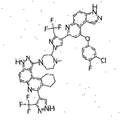 CN1CCN(c2n[nH]c3ccc4nc(-c5c[nH]nc5C(F)(F)F)c5c(c4c23)CCCC5)CC1n1cc(-c2cc(Oc3ccc(F)c(Cl)c3)c3c(ccc4[nH]ncc43)n2)c(C(F)(F)F)n1